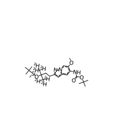 [2H]C([2H])([2H])C(CCc1cc2cc(NC(=O)OC(C)(C)C)c(OC)cn2n1)(O[Si](C)(C)C(C)(C)C)C([2H])([2H])[2H]